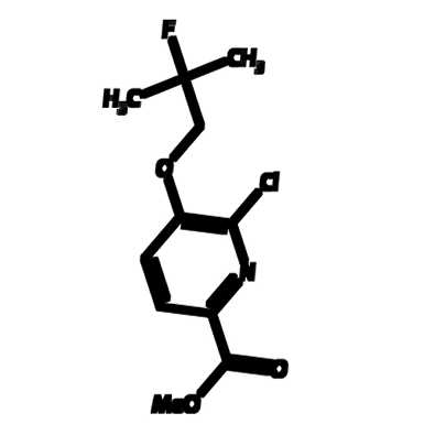 COC(=O)c1ccc(OCC(C)(C)F)c(Cl)n1